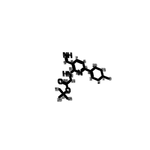 CC1CC=C(c2ccc(C=N)c(NCC(=O)OC(C)(C)C)n2)CC1